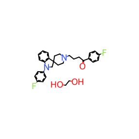 O=C(CCCN1CCC2(CC1)CN(c1ccc(F)cc1)c1ccccc12)c1ccc(F)cc1.OCCO